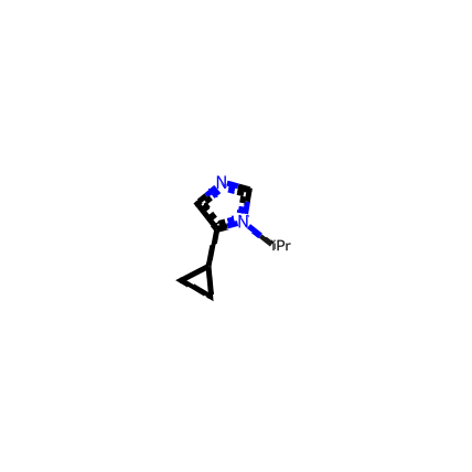 CC(C)n1cncc1C1CC1